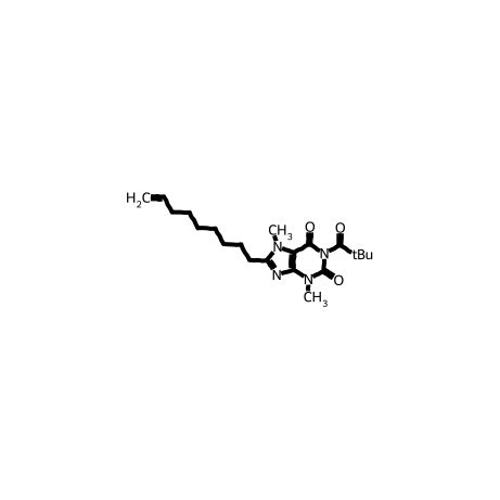 C=CCCCCCCCc1nc2c(c(=O)n(C(=O)C(C)(C)C)c(=O)n2C)n1C